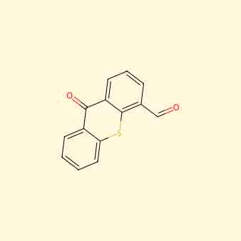 O=Cc1cccc2c(=O)c3ccccc3sc12